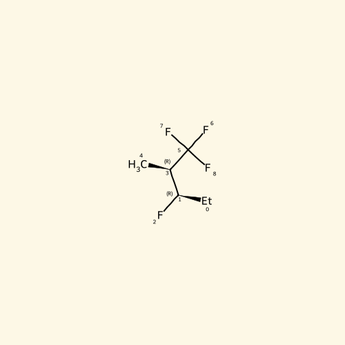 CC[C@@H](F)[C@@H](C)C(F)(F)F